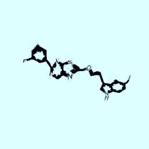 Fc1cccc(-c2ncc3nc(OCCc4c[nH]c5ccc(F)cc45)sc3n2)c1